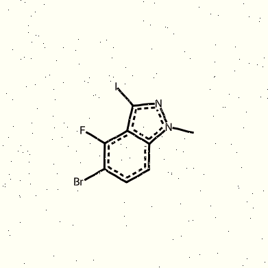 Cn1nc(I)c2c(F)c(Br)ccc21